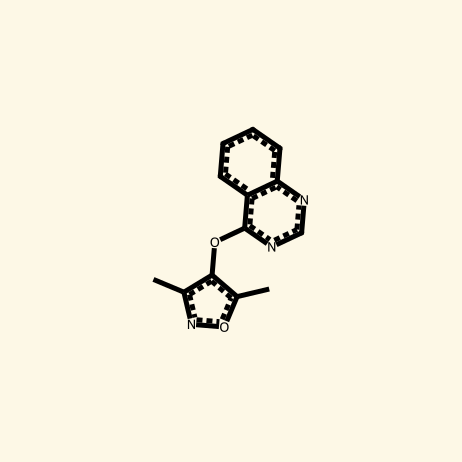 Cc1noc(C)c1Oc1ncnc2ccccc12